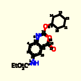 CCOC(=O)Nc1ccc2nc(OC3CCCCC3)oc(=O)c2c1